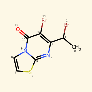 CC(Br)c1nc2sccn2c(=O)c1Br